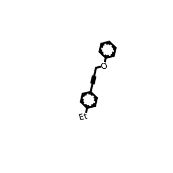 CCc1ccc(C#CCOc2ccccc2)cc1